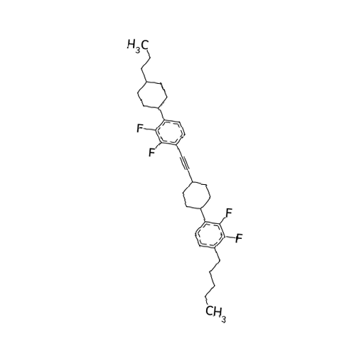 CCCCCc1ccc(C2CCC(C#Cc3ccc(C4CCC(CCC)CC4)c(F)c3F)CC2)c(F)c1F